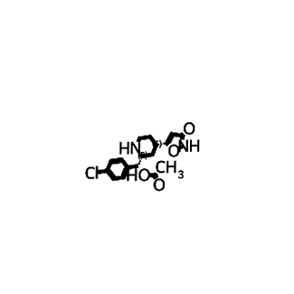 CC(=O)O.O=c1cc([C@H]2CCN[C@@H](Cc3ccc(Cl)cc3)C2)o[nH]1